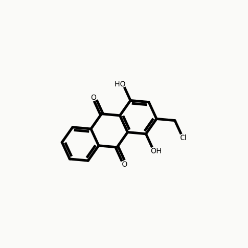 O=C1c2ccccc2C(=O)c2c(O)c(CCl)cc(O)c21